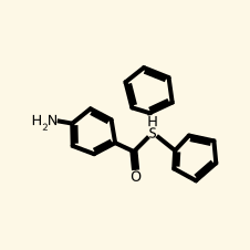 Nc1ccc(C(=O)[SH](c2ccccc2)c2ccccc2)cc1